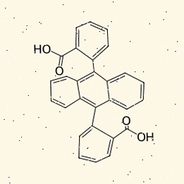 O=C(O)c1ccccc1-c1c2ccccc2c(-c2ccccc2C(=O)O)c2ccccc12